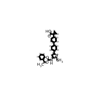 C[C@@H](OC(=O)Nc1cc(-c2ccc(-c3ccc(C4(C(=O)O)CC4)cc3)cc2)nn1C)c1ccccc1